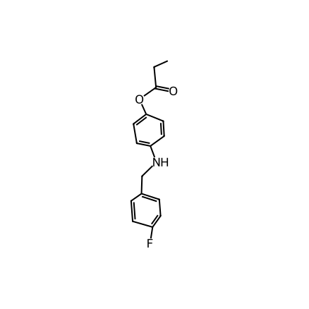 CCC(=O)Oc1ccc(NCc2ccc(F)cc2)cc1